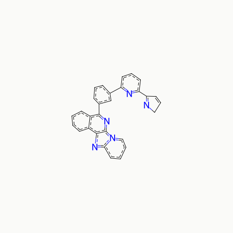 C1=CC(c2cccc(-c3cccc(-c4nc5c(nc6ccccn65)c5ccccc45)c3)n2)=NC1